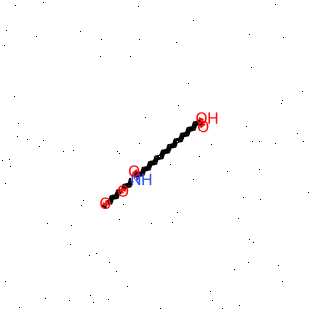 COCCCCOCCCNC(=O)CCCCCCCCCCCCCCCCCCC(=O)O